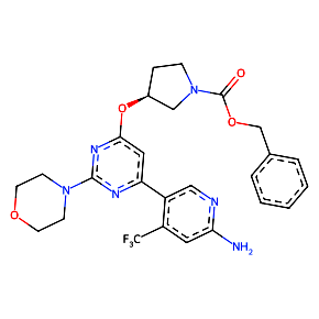 Nc1cc(C(F)(F)F)c(-c2cc(O[C@H]3CCN(C(=O)OCc4ccccc4)C3)nc(N3CCOCC3)n2)cn1